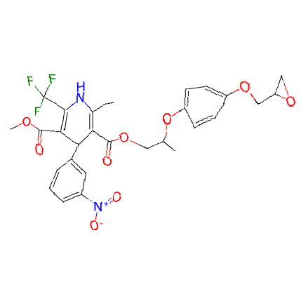 COC(=O)C1=C(C(F)(F)F)NC(C)=C(C(=O)OCC(C)Oc2ccc(OCC3CO3)cc2)C1c1cccc([N+](=O)[O-])c1